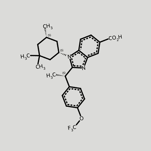 C[C@@H]1C[C@H](n2c([C@@H](C)c3ccc(OC(F)(F)F)cc3)nc3cc(C(=O)O)ccc32)CC(C)(C)C1